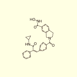 O=C(NC1CC1)C(=Cc1ccc(C(=O)N2CCc3ccc(C(=O)NO)cc3C2)cc1)c1ccccc1